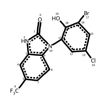 O=c1[nH]c2cc(C(F)(F)F)ccc2n1-c1cc(Cl)cc(Br)c1O